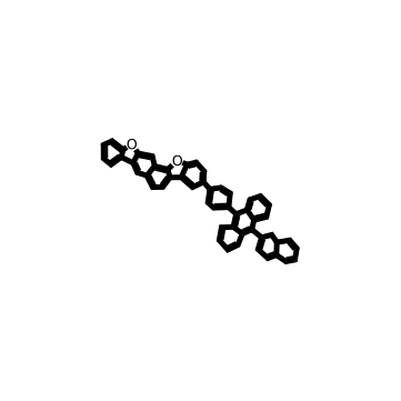 C1=CC2=CC=C(c3c4ccccc4c(-c4ccc(-c5ccc6oc7c8cc9oc%10ccccc%10c9cc8ccc7c6c5)cc4)c4ccccc34)CC2C=C1